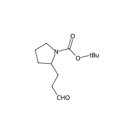 CC(C)(C)OC(=O)N1CCCC1CCC=O